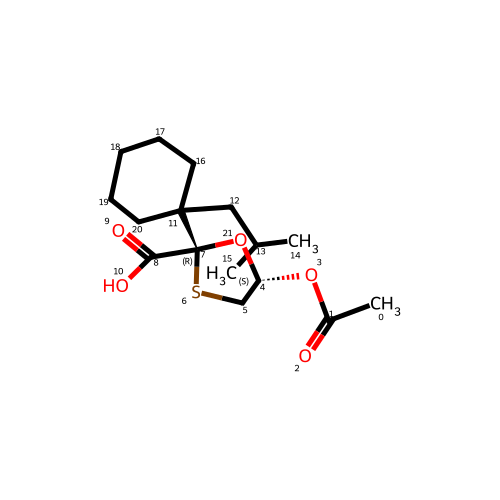 CC(=O)O[C@@H]1CS[C@@](C(=O)O)(C2(CC(C)C)CCCCC2)O1